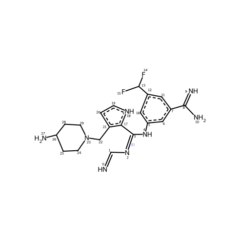 N=C/N=C(/Nc1cc(C(=N)N)cc(C(F)F)c1)c1[nH]ccc1CN1CCC(N)CC1